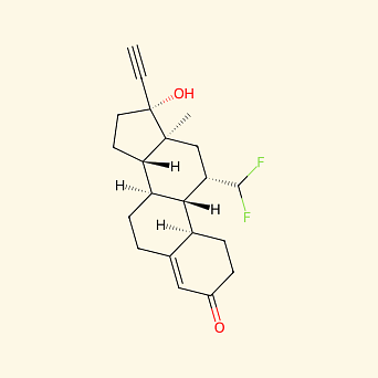 C#C[C@]1(O)CC[C@H]2[C@@H]3CCC4=CC(=O)CC[C@@H]4[C@H]3[C@@H](C(F)F)C[C@@]21C